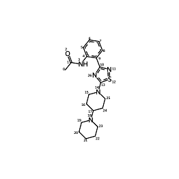 CC(=O)Nc1ccccc1-c1nsc(N2CCC(N3CCCCC3)CC2)n1